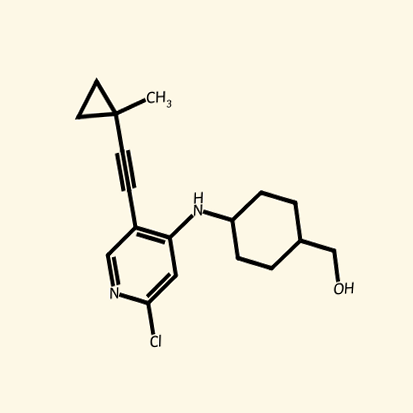 CC1(C#Cc2cnc(Cl)cc2NC2CCC(CO)CC2)CC1